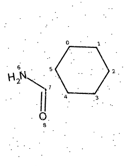 C1CCCCC1.NC=O